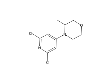 CC1COCCN1c1cc(Cl)nc(Cl)c1